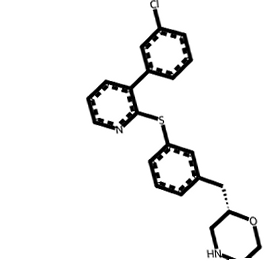 Clc1cccc(-c2cccnc2Sc2cccc(C[C@H]3CNCCO3)c2)c1